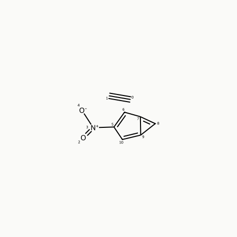 C#C.O=[N+]([O-])c1cc2cc-2c1